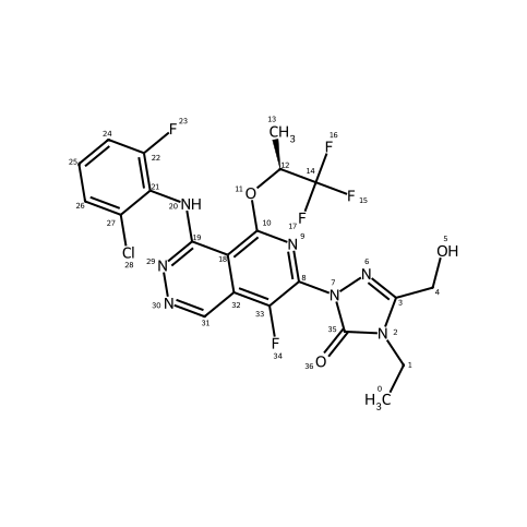 CCn1c(CO)nn(-c2nc(O[C@@H](C)C(F)(F)F)c3c(Nc4c(F)cccc4Cl)nncc3c2F)c1=O